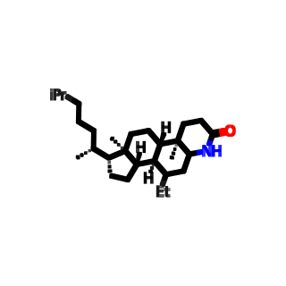 CCC1CC2NC(=O)CC[C@]2(C)[C@H]2CC[C@]3(C)[C@@H]([C@H](C)CCCC(C)C)CC[C@H]3[C@H]12